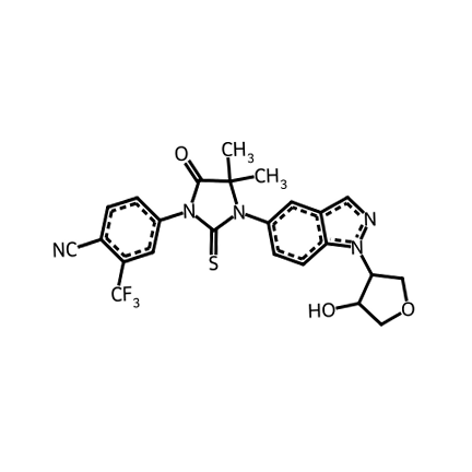 CC1(C)C(=O)N(c2ccc(C#N)c(C(F)(F)F)c2)C(=S)N1c1ccc2c(cnn2C2COCC2O)c1